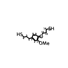 COc1cc(CCCS)ccc1OCCCS